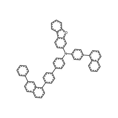 c1ccc(-c2ccc3cccc(-c4ccc(-c5ccc(N(c6ccc(-c7cccc8ccccc78)cc6)c6ccc7c(c6)oc6ccccc67)cc5)cc4)c3c2)cc1